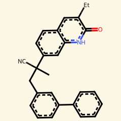 CCc1cc2ccc(C(C)(C#N)Cc3cccc(-c4ccccc4)c3)cc2[nH]c1=O